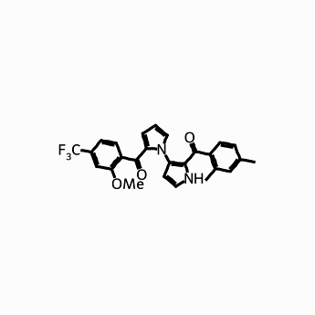 COc1cc(C(F)(F)F)ccc1C(=O)c1cccn1-c1cc[nH]c1C(=O)c1ccc(C)cc1C